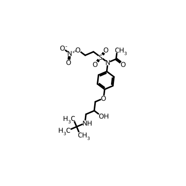 CC(=O)N(c1ccc(OCC(O)CNC(C)(C)C)cc1)S(=O)(=O)CCO[N+](=O)[O-]